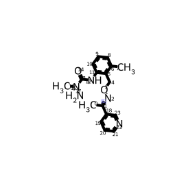 C/C(=N\OCc1c(C)cccc1NC(=O)N(C)N)c1cccnc1